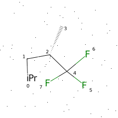 CC(C)C[C@H](C)C(F)(F)F